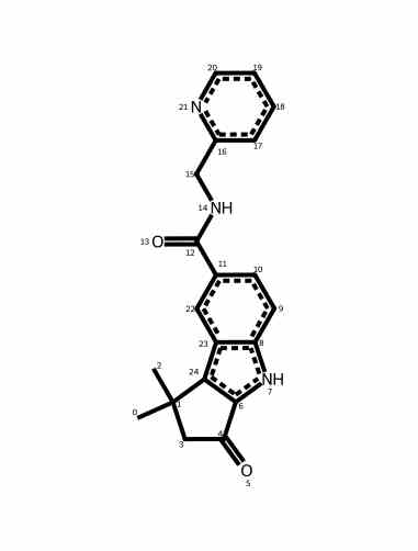 CC1(C)CC(=O)c2[nH]c3ccc(C(=O)NCc4ccccn4)cc3c21